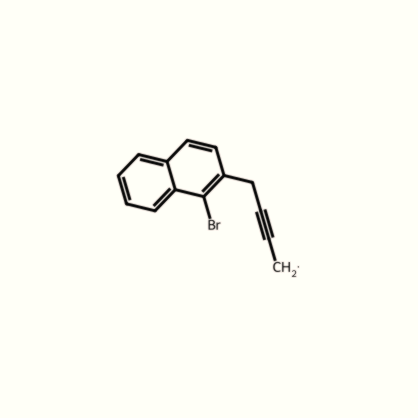 [CH2]C#CCc1ccc2ccccc2c1Br